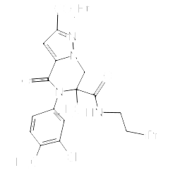 CCOC(=O)c1cc2n(n1)CC(C)(C(=O)NCCC(C)C)N(c1ccc(C)c(Cl)c1)C2=O